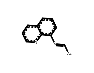 CC(=O)/C=N/c1cccc2cccnc12